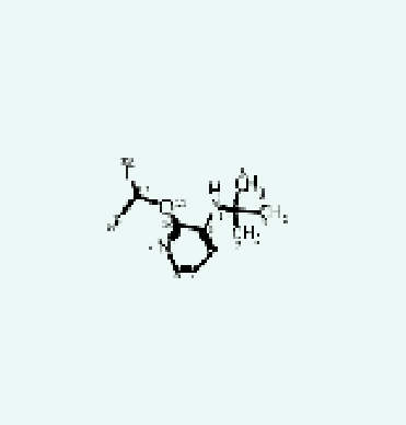 CC(C)(C)Nc1cccnc1OC(F)F